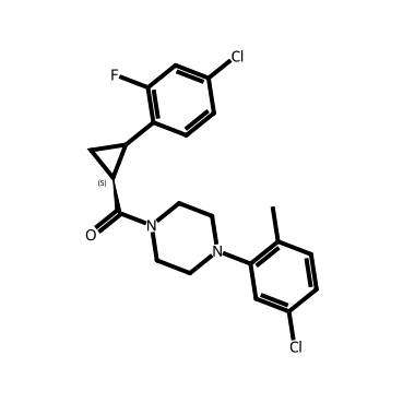 Cc1ccc(Cl)cc1N1CCN(C(=O)[C@H]2CC2c2ccc(Cl)cc2F)CC1